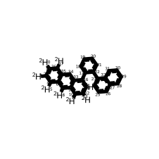 [2H]c1c([2H])c([2H])c2c([2H])c3c([2H])c([2H])c([2H])c(-c4ccccc4-c4cccc5ccccc45)c3cc2c1[2H]